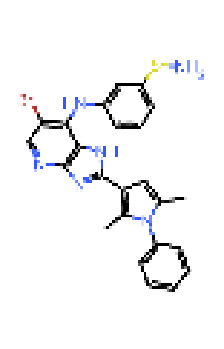 Cc1cc(-c2nc3ncc(Br)c(Nc4cccc(SN)c4)c3[nH]2)c(C)n1-c1ccccc1